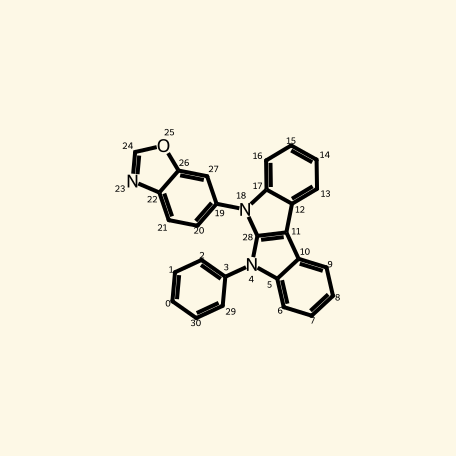 c1ccc(-n2c3ccccc3c3c4ccccc4n(-c4ccc5ncoc5c4)c32)cc1